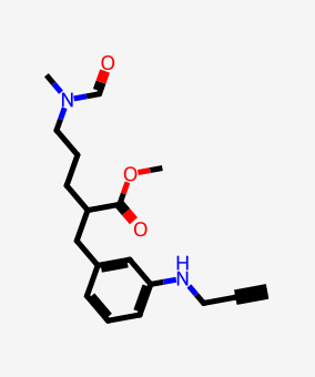 C#CCNc1cccc(CC(CCCN(C)C=O)C(=O)OC)c1